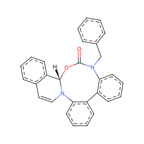 O=C1O[C@H]2c3ccccc3C=CN2c2ccccc2-c2ccccc2N1Cc1ccccc1